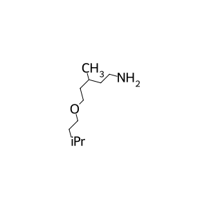 CC(C)CCOCCC(C)CCN